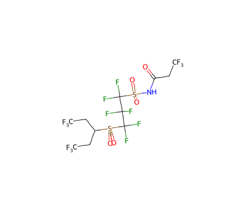 O=C(CC(F)(F)F)NS(=O)(=O)C(F)(F)C(F)(F)C(F)(F)S(=O)(=O)C(CC(F)(F)F)CC(F)(F)F